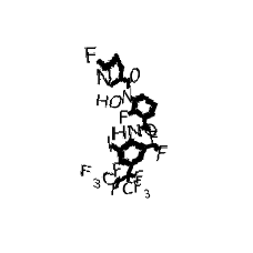 O=C(Nc1c(I)cc(C(F)(C(F)(F)F)C(F)(F)C(F)(F)F)cc1C(F)F)c1cccc(N(O)C(=O)c2ccc(F)nc2)c1F